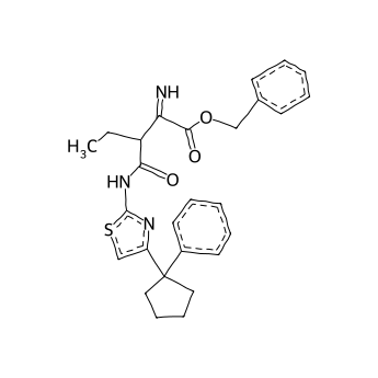 CCC(C(=N)C(=O)OCc1ccccc1)C(=O)Nc1nc(C2(c3ccccc3)CCCC2)cs1